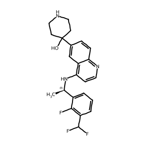 C[C@@H](Nc1ccnc2ccc(C3(O)CCNCC3)cc12)c1cccc(C(F)F)c1F